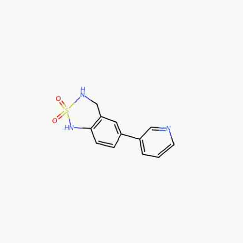 O=S1(=O)NCc2cc(-c3cccnc3)ccc2N1